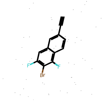 C#Cc1ccc2c(F)c(Br)c(F)cc2c1